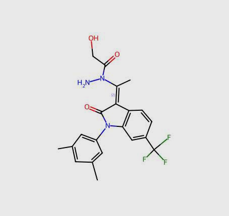 C/C(=C1/C(=O)N(c2cc(C)cc(C)c2)c2cc(C(F)(F)F)ccc21)N(N)C(=O)CO